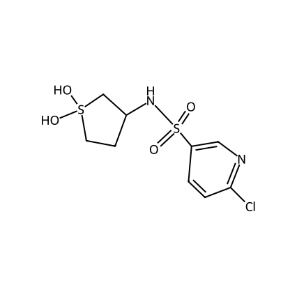 O=S(=O)(NC1CCS(O)(O)C1)c1ccc(Cl)nc1